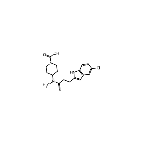 CN(C(=S)CCc1cc2cc(Cl)ccc2[nH]1)C1CCN(C(=O)O)CC1